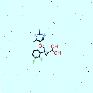 Cc1ncc(OCC2(c3cccc(F)c3F)CC2C(O)O)c(C)n1